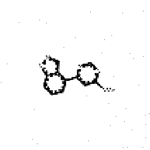 CNc1cc(-c2cccc3[nH]ncc23)ncn1